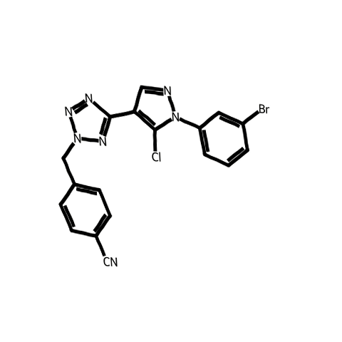 N#Cc1ccc(Cn2nnc(-c3cnn(-c4cccc(Br)c4)c3Cl)n2)cc1